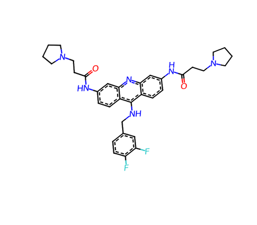 O=C(CCN1CCCC1)Nc1ccc2c(NCc3ccc(F)c(F)c3)c3ccc(NC(=O)CCN4CCCC4)cc3nc2c1